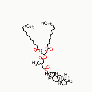 CCCCCCCC/C=C\CCCCCCCC(=O)OCC(COC(=O)CCCCCCC/C=C\CCCCCCCC)OC(=O)CC(C)CC(=O)O[C@@H]1CC[C@@]2(C)[C@@H](CC[C@@H]3[C@@H]2CC[C@]2(C)[C@@H](C(C)=O)CC[C@@H]32)C1